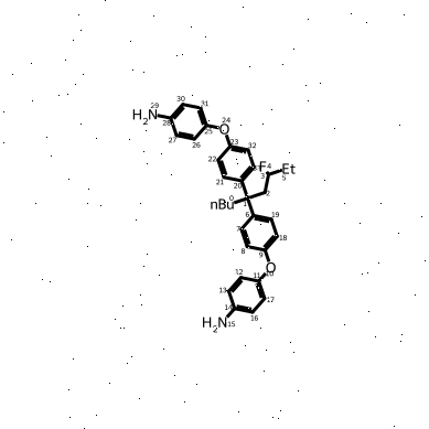 CCCCC(CC(F)CC)(c1ccc(Oc2ccc(N)cc2)cc1)c1ccc(Oc2ccc(N)cc2)cc1